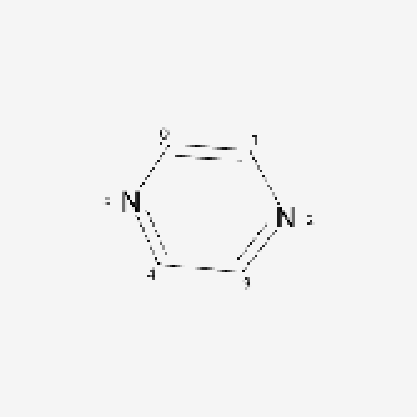 [c]1cnccn1